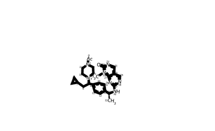 CC(=O)N1CCN(C(CC2CC2)c2ccc([C@H](C)Nc3ncc4cnc(=O)n(C)c4n3)cc2)CC1